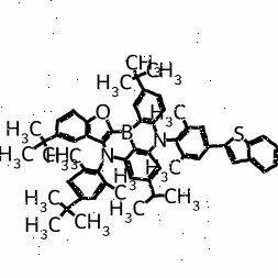 Cc1cc(-c2cc3ccccc3s2)cc(C)c1N1c2ccc(C(C)(C)C)cc2B2c3oc4ccc(C(C)(C)C)cc4c3N(c3c(C)cc(C(C)(C)C)cc3C)c3cc(C(C)C)cc1c32